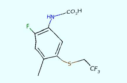 Cc1cc(F)c(NC(=O)O)cc1SCC(F)(F)F